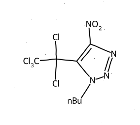 CCCCn1nnc([N+](=O)[O-])c1C(Cl)(Cl)C(Cl)(Cl)Cl